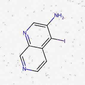 Nc1cnc2cnccc2c1I